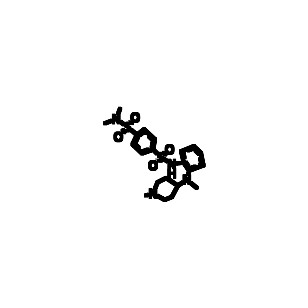 CN1CCC(N(C)c2ccccc2NS(=O)(=O)c2ccc(S(=O)(=O)N(C)C)cc2)CC1